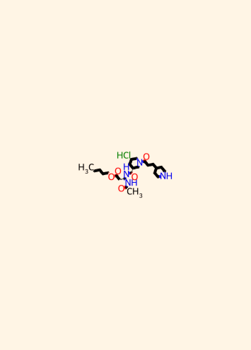 CCCCCOC(=O)C[C@@H](NC(C)=O)NC(=O)[C@@H]1CCCN(C(=O)CCC2CCNCC2)C1.Cl